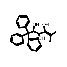 CC(C)=C(O)C(O)C(O)C(c1ccccc1)(c1ccccc1)c1ccccc1